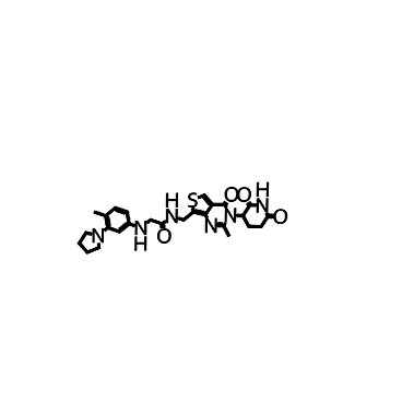 Cc1ccc(NCC(=O)NCc2scc3c(=O)n(C4CCC(=O)NC4=O)c(C)nc23)cc1N1CCCC1